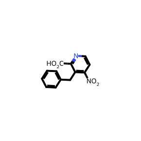 O=C(O)c1nccc([N+](=O)[O-])c1Cc1ccccc1